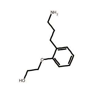 NCCCc1ccccc1OCCO